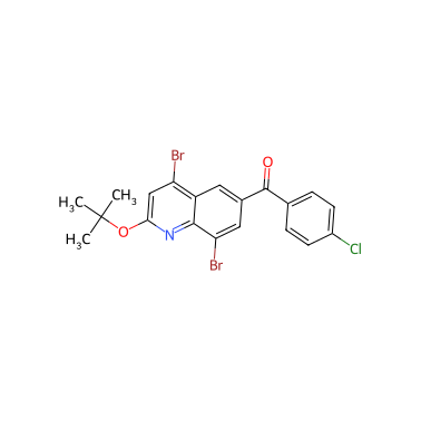 CC(C)(C)Oc1cc(Br)c2cc(C(=O)c3ccc(Cl)cc3)cc(Br)c2n1